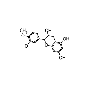 COc1ccc(C2Oc3cc(O)cc(O)c3CC2O)cc1O